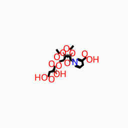 CC(=O)O[C@@H]1[C@H](OC(C)=O)C(COC(=O)[C@@H](O)CC(=O)O)O[C@H]1N1C=CCC(C(=O)O)=C1